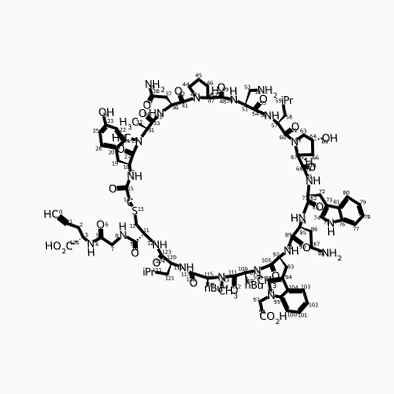 C#CC[C@H](NC(=O)CNC(=O)[C@@H]1CSCC(=O)N[C@@H](Cc2ccc(O)cc2)C(=O)N(C)[C@@H](C)C(=O)N[C@@H](CC(N)=O)C(=O)N2CCC[C@H]2C(=O)N[C@@H](CN)C(=O)N[C@@H](CC(C)C)C(=O)N2C[C@H](O)C[C@H]2C(=O)N[C@@H](Cc2c[nH]c3ccccc23)C(=O)N[C@@H](CCN)C(=O)N[C@@H](Cc2cn(CC(=O)O)c3ccccc23)C(=O)N(C)[C@@H](CCCC)C(=O)N(C)[C@@H](CCCC)C(=O)N[C@@H](CC(C)C)C(=O)N1)C(=O)O